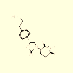 CCCc1ccc([C@H]2CN(C3CCC(=O)NC3=O)C(=O)O2)cc1